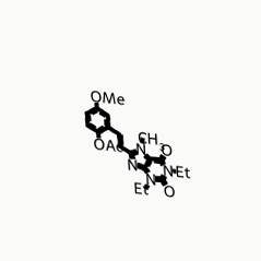 CCn1c(=O)c2c(nc(C=Cc3cc(OC)ccc3OC(C)=O)n2C)n(CC)c1=O